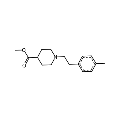 COC(=O)C1CCN(CCc2ccc(C)cc2)CC1